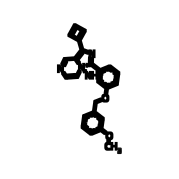 COc1cccc(COc2cccc(C3=NC(C4=CC=C4)=C4C=NC=C[N+]34N)c2)c1